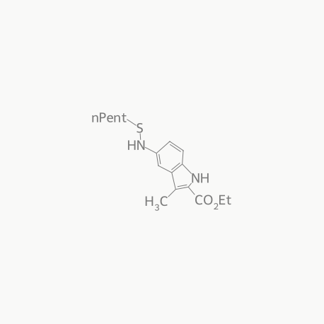 CCCCCSNc1ccc2[nH]c(C(=O)OCC)c(C)c2c1